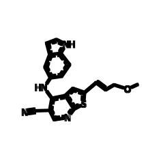 COCC=Cc1cc2c(Nc3ccc4[nH]ccc4c3)c(C#N)cnc2s1